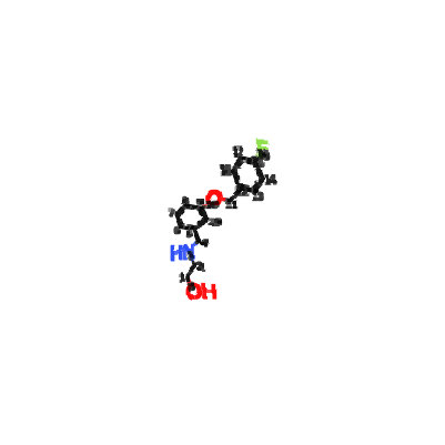 OCCNCc1cccc(OCc2ccc(F)cc2)c1